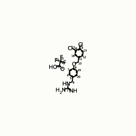 N=C(N)NCc1ccc(OCc2ccc(Cl)c(Cl)c2)cc1.O=C(O)C(F)(F)F